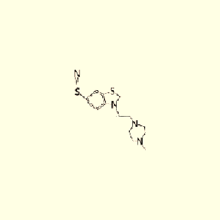 CN1CCN(C[CH]N2CSc3cc(SC#N)ccc32)CC1